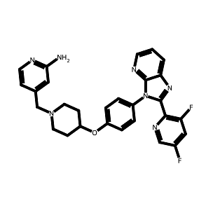 Nc1cc(CN2CCC(Oc3ccc(-n4c(-c5ncc(F)cc5F)nc5cccnc54)cc3)CC2)ccn1